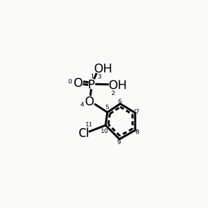 O=P(O)(O)Oc1c[c]ccc1Cl